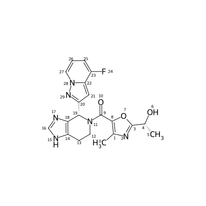 Cc1nc([C@@H](C)O)oc1C(=O)N1CCc2[nH]cnc2[C@@H]1c1cc2c(F)cccn2n1